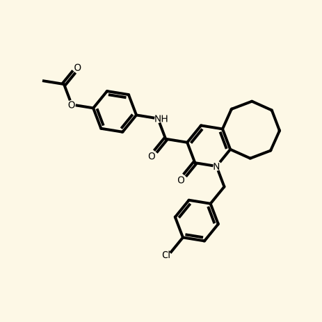 CC(=O)Oc1ccc(NC(=O)c2cc3c(n(Cc4ccc(Cl)cc4)c2=O)CCCCCC3)cc1